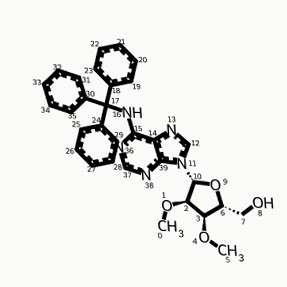 CO[C@@H]1[C@H](OC)[C@@H](CO)O[C@H]1n1cnc2c(NC(c3ccccc3)(c3ccccc3)c3ccccc3)ncnc21